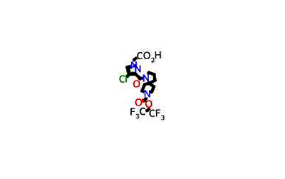 O=C(O)Cn1cc(Cl)c(C(=O)N2CCCC23CCN(C(=O)OC(C(F)(F)F)C(F)(F)F)CC3)n1